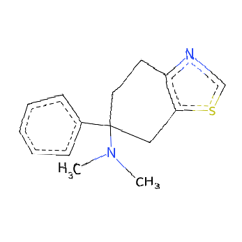 CN(C)C1(c2ccccc2)CCc2ncsc2C1